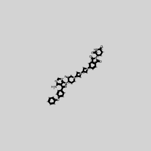 Nc1ncnc2c1c(-c1ccc(Oc3ccccc3)cc1)nn2[C@@H]1CCN(C2CN(C3CN(c4ccc5c(c4)C(=O)N([C@@H]4CCC(=O)NC4=O)C5=O)C3)C2)C[C@@H]1F